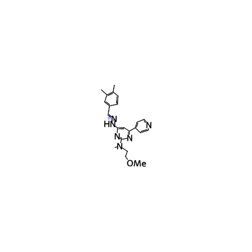 COCCN(C)c1nc(N/N=C/c2ccc(C)c(C)c2)cc(-c2ccncc2)n1